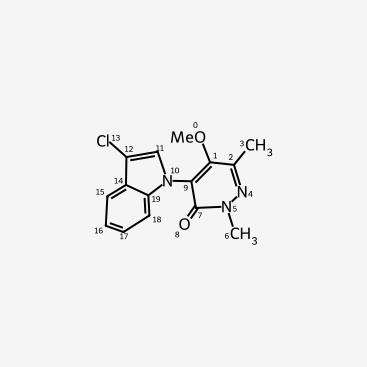 COc1c(C)nn(C)c(=O)c1-n1cc(Cl)c2ccccc21